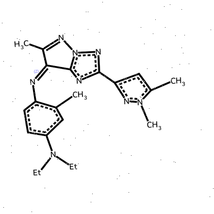 CCN(CC)c1ccc(/N=C2/C(C)=Nn3nc(-c4cc(C)n(C)n4)nc32)c(C)c1